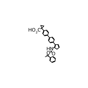 C[C@@H](OC(=O)NC1=C(c2ccc(-c3ccc(C4(C(=O)O)CC4)cc3)cc2)C=CC1)c1ccccc1